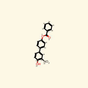 O=C(Oc1ccc(-c2ccc(O)c([N+](=O)[O-])c2)cc1)c1ccccc1